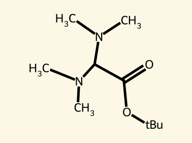 CN(C)C(C(=O)OC(C)(C)C)N(C)C